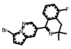 CC1(C)Cc2c(F)cccc2C(c2cnn3c(Br)ccc3c2)=N1